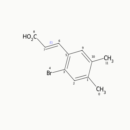 Cc1cc(Br)c(/C=C/C(=O)O)cc1C